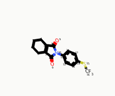 O=C1C2=C(CCCC2)C(=O)N1c1ccc(SC(F)(F)F)cc1